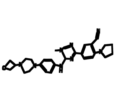 CN1C=NC(c2ccc(N3CCCC3)c(C#N)c2)=NC1Nc1ccc(N2CCN(C3COC3)CC2)cc1